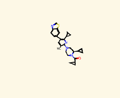 N#Cc1cc(-c2ccc3ncsc3c2)c(C2CC2)nc1N1CCN(C(=O)C2CC2)[C@H](C2CC2)C1